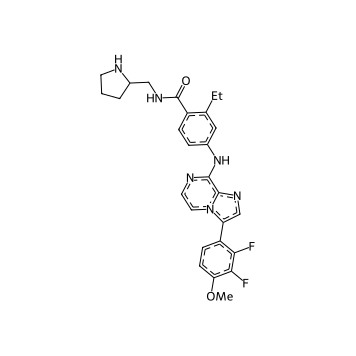 CCc1cc(Nc2nccn3c(-c4ccc(OC)c(F)c4F)cnc23)ccc1C(=O)NCC1CCCN1